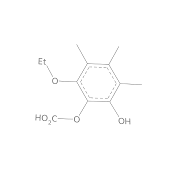 CCOc1c(C)c(C)c(C)c(O)c1OC(=O)O